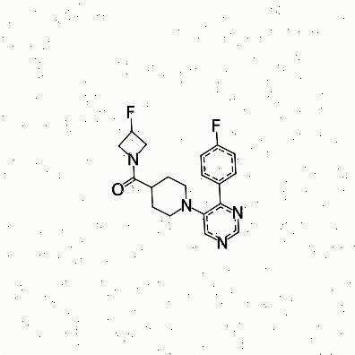 O=C(C1CCN(c2cncnc2-c2ccc(F)cc2)CC1)N1CC(F)C1